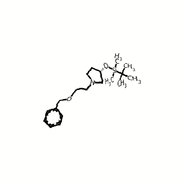 CC(C)(C)[Si](C)(C)O[C@H]1CCN(CCOCc2ccccc2)C1